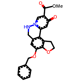 COC(=O)c1cn2c(cc1=O)-c1c(cc(OCc3ccccc3)c3c1CCO3)CN2